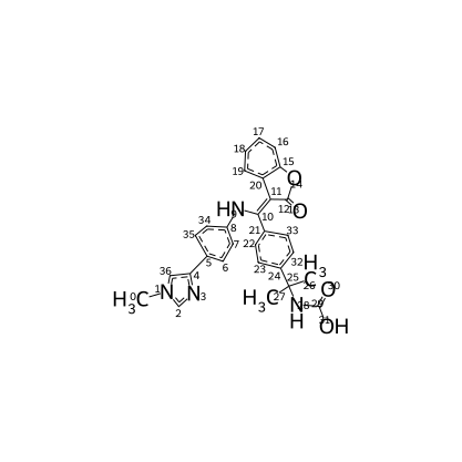 Cn1cnc(-c2ccc(NC(=C3C(=O)Oc4ccccc43)c3ccc(C(C)(C)NC(=O)O)cc3)cc2)c1